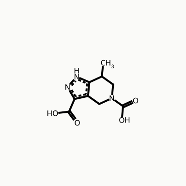 CC1CN(C(=O)O)Cc2c(C(=O)O)n[nH]c21